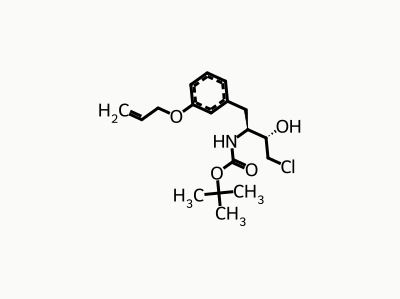 C=CCOc1cccc(C[C@H](NC(=O)OC(C)(C)C)[C@H](O)CCl)c1